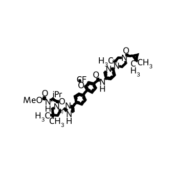 COC(=O)N[C@H](C(=O)N1CC(C)(C)C[C@H]1c1nc(-c2ccc(-c3ccc(C(=O)Nc4ccc(N5CCN(C(=O)C6CC6(C)C)C[C@H]5C)nc4)cc3OC(F)(F)F)cc2)c[nH]1)C(C)C